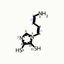 N/C=C\C=C/n1cnc(S)c1S